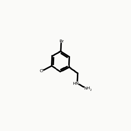 NNCc1cc(Cl)cc(Br)c1